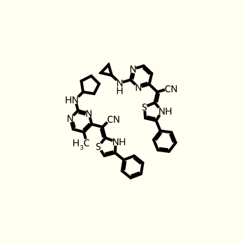 Cc1cnc(NC2CCCC2)nc1C(C#N)=C1NC(c2ccccc2)=CS1.N#CC(=C1NC(c2ccccc2)=CS1)c1ccnc(NC2CC2)n1